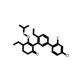 CCc1ccc(-c2ccc(Cl)cc2F)cc1C1=C(OSC(C)C)C(CC)CCC1=O